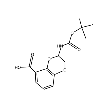 CC(C)(C)OC(=O)NC1COc2cccc(C(=O)O)c2O1